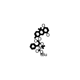 CC1=CCC2C(CC3=C(C(=O)C=CC3=O)C2(C)C)C1OC(=O)C1OC(C)(C)N(C(=O)OC(C)(C)C)C1c1ccccc1